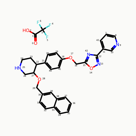 O=C(O)C(F)(F)F.c1cncc(-c2noc(COc3ccc(C4CCNCC4OCc4ccc5ccccc5c4)cc3)n2)c1